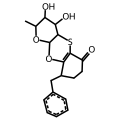 CC1OC2OC3=C(SC2C(O)C1O)C(=O)CCC3Cc1ccccc1